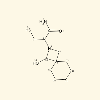 NC(=O)C(CS)N1CC2(CCCCC2)C1O